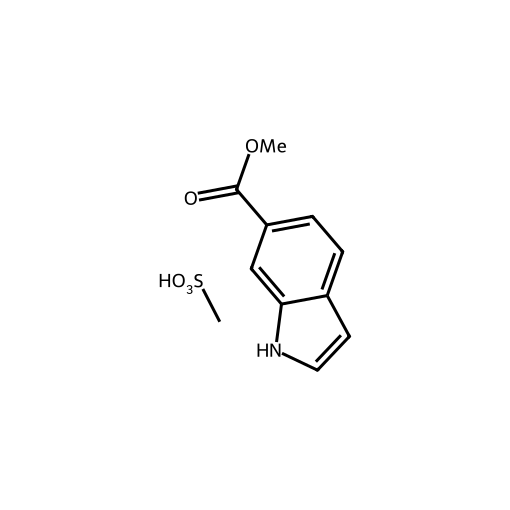 COC(=O)c1ccc2cc[nH]c2c1.CS(=O)(=O)O